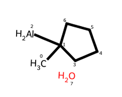 C[C]1([AlH2])CCCC1.O